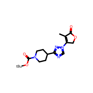 CC1=C(n2cnc(C3CCN(C(=O)OC(C)(C)C)CC3)n2)COC1=O